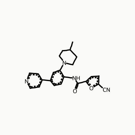 CC1CCN(c2cc(-c3ccncc3)ccc2NC(=O)c2ccc(C#N)o2)CC1